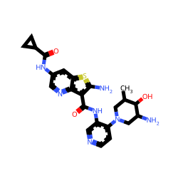 CC1CN(c2ccncc2NC(=O)c2c(N)sc3cc(NC(=O)C4CC4)cnc23)CC(N)C1O